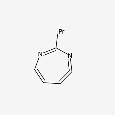 CC(C)C1=NC=CC=C=N1